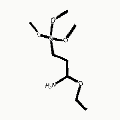 CCOC(N)CC[Si](OC)(OC)OC